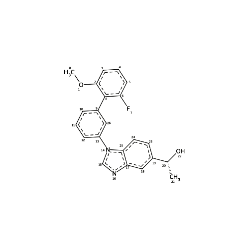 COc1cccc(F)c1-c1cccc(-n2cnc3cc([C@@H](C)O)ccc32)c1